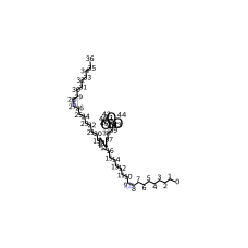 CCCCCCCC/C=C\CCCCCCCCN(CCCCCCCC/C=C\CCCCCCCC)CCC[Si](OC)(OC)OC